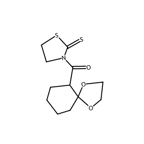 O=C(C1CCCCC12OCCO2)N1CCSC1=S